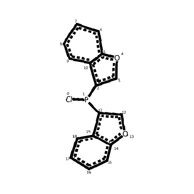 ClP(c1coc2ccccc12)c1coc2ccccc12